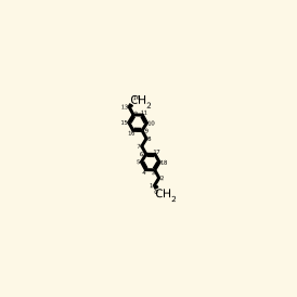 C=CCc1ccc(CCc2ccc(C=C)cc2)cc1